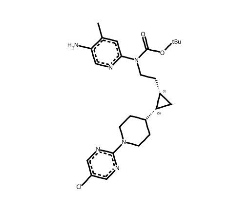 Cc1cc(N(CC[C@@H]2C[C@@H]2C2CCN(c3ncc(Cl)cn3)CC2)C(=O)OC(C)(C)C)ncc1N